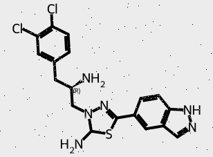 NC1SC(c2ccc3[nH]ncc3c2)=NN1C[C@H](N)Cc1ccc(Cl)c(Cl)c1